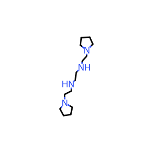 C1CCN(CCNCCNCCN2CCCC2)C1